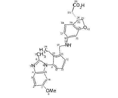 COc1ccc2nc(C)n(-c3cccc(CNc4ccc5c(c4)OC[C@H]5CC(=O)O)c3C)c2c1